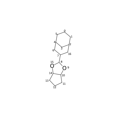 C1CC2CC(C1)CC(C1OC3CCCC3O1)C2